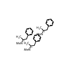 CN[C@@H](C)Cc1ccccc1.CN[C@@H](C)Cc1ccccc1.CN[C@@H](C)Cc1ccccc1